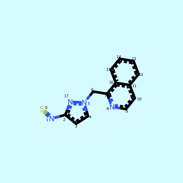 S=Nc1ccn(Cc2nccc3ccccc23)n1